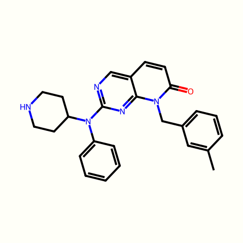 Cc1cccc(Cn2c(=O)ccc3cnc(N(c4ccccc4)C4CCNCC4)nc32)c1